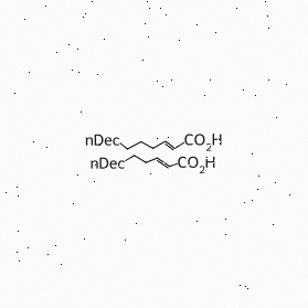 CCCCCCCCCCCC/C=C/C(=O)O.CCCCCCCCCCCCC/C=C/C(=O)O